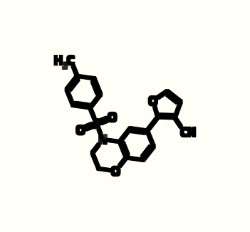 Cc1ccc(S(=O)(=O)N2CCOc3ccc(-c4occc4C#N)cc32)cc1